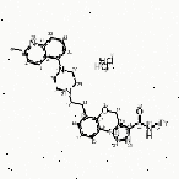 Cc1ccc2c(N3CCN(CCc4cccc5c4OCc4c(C(=O)NC(C)C)ncn4-5)CC3)cccc2n1.Cl.Cl